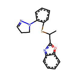 CC(Sc1ccccc1N1CCC=N1)c1nc2ccccc2o1